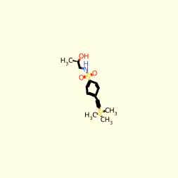 C[C@@H](O)CNS(=O)(=O)c1ccc(C#CS(C)(C)C)cc1